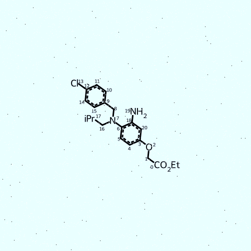 CCOC(=O)COc1ccc(N(Cc2ccc(Cl)cc2)CC(C)C)c(N)c1